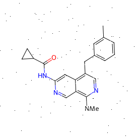 CNc1ncc(Cc2cccc(C)c2)c2cc(NC(=O)C3CC3)ncc12